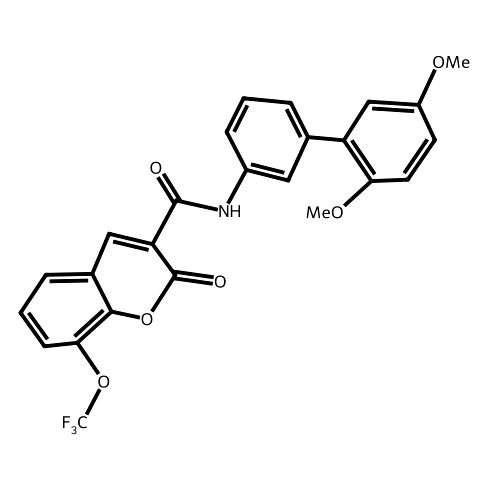 COc1ccc(OC)c(-c2cccc(NC(=O)c3cc4cccc(OC(F)(F)F)c4oc3=O)c2)c1